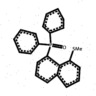 CSc1cccc2cccc(P(=O)(c3ccccc3)c3ccccc3)c12